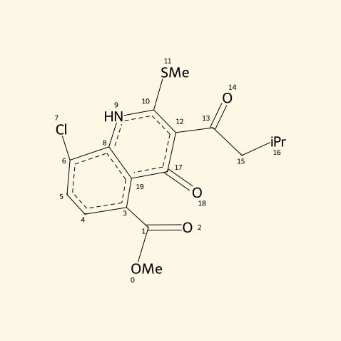 COC(=O)c1ccc(Cl)c2[nH]c(SC)c(C(=O)CC(C)C)c(=O)c12